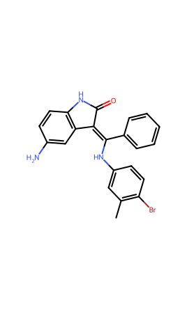 Cc1cc(NC(=C2C(=O)Nc3ccc(N)cc32)c2ccccc2)ccc1Br